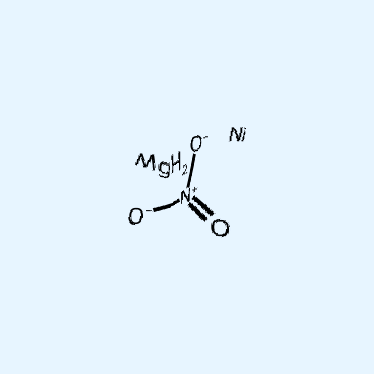 O=[N+]([O-])[O-].[MgH2].[Ni]